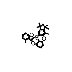 Cc1c2c(cc3c1C(C)(C)CC3(C)C)B1c3oc4cccc(C)c4c3Oc3cccc(c31)O2